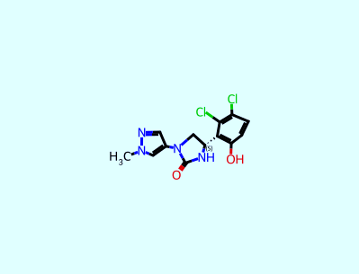 Cn1cc(N2C[C@H](c3c(O)ccc(Cl)c3Cl)NC2=O)cn1